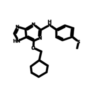 CSc1ccc(Nc2nc(OCC3CCCCC3)c3[nH]cnc3n2)cc1